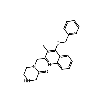 Cc1c(CN2CCNCC2=O)nc2ccccc2c1OCc1ccccc1